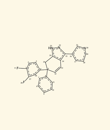 Fc1ccc(C2(c3ccccc3)C=Cc3c(-c4cccnc4)n[nH]c3C2)cc1F